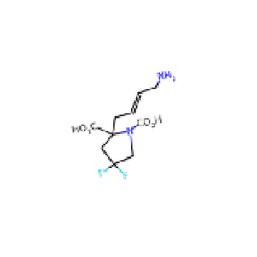 NCC=CCC1(C(=O)O)CC(F)(F)CN1C(=O)O